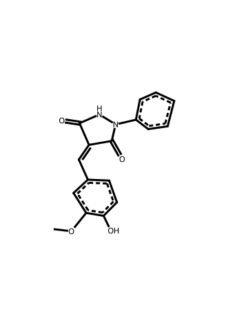 COc1cc(/C=C2/C(=O)NN(c3ccccc3)C2=O)ccc1O